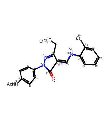 CCOC(=O)CC1=NN(c2ccc(NC(C)=O)cc2)C(=O)/C1=C/Nc1ccccc1CC